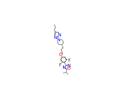 CCCc1cnc(N2CCC(CCCOc3cc(F)c(-c4noc(C(C)C)n4)c(F)c3)CC2)nc1